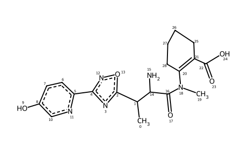 CC(c1nc(-c2ccc(O)cn2)no1)C(N)C(=O)N(C)C1=C(C(=O)O)CCCC1